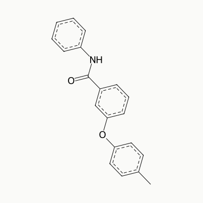 Cc1ccc(Oc2cccc(C(=O)Nc3ccccc3)c2)cc1